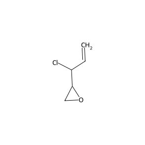 C=CC(Cl)C1CO1